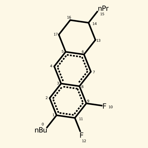 CCCCc1cc2cc3c(cc2c(F)c1F)CC(CCC)CC3